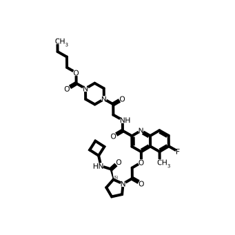 CCCCOC(=O)N1CCN(C(=O)CNC(=O)c2cc(OCC(=O)N3CCC[C@H]3C(=O)NC3CCC3)c3c(C)c(F)ccc3n2)CC1